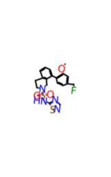 COc1cc(CF)ccc1-c1cccc2c1CN(S(=O)(=O)Nc1ncns1)CC2